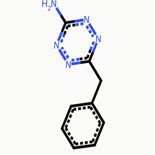 Nc1nnc(Cc2ccccc2)nn1